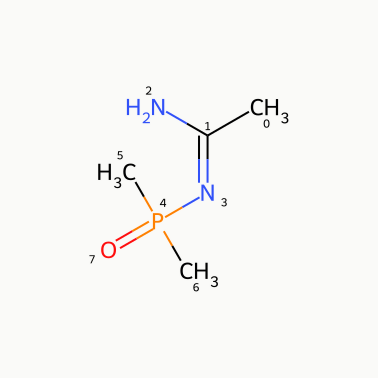 CC(N)=NP(C)(C)=O